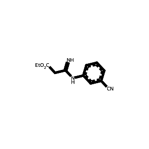 CCOC(=O)CC(=N)Nc1cccc(C#N)c1